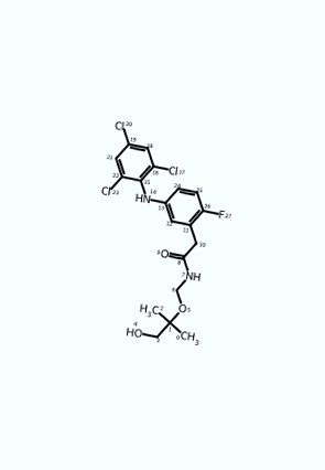 CC(C)(CO)OCNC(=O)Cc1cc(Nc2c(Cl)cc(Cl)cc2Cl)ccc1F